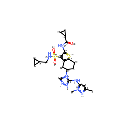 Cc1cc(Nc2nncn2C2CCc3sc(NC(=O)C4CC4)c(S(=O)(=O)NCC4CC4)c3C2)n(C)n1